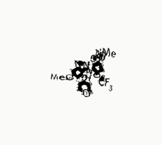 CNS(=O)(=O)c1ccc(OCC(F)(F)F)c(Nc2ncnc3cc(OC)cc(OC4CCOCC4)c23)c1